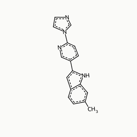 Cc1ccc2cc(-c3ccc(-n4ccnc4)nc3)[nH]c2c1